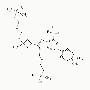 CC1(C)COB(c2cc(C(F)(F)F)c3nc(C4CC(C)(OCOCC[Si](C)(C)C)C4)n(COCC[Si](C)(C)C)c3c2)OC1